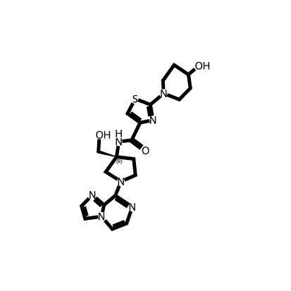 O=C(N[C@]1(CO)CCN(c2nccn3ccnc23)C1)c1csc(N2CCC(O)CC2)n1